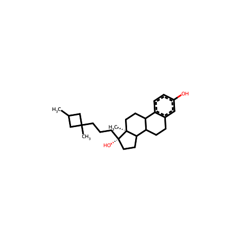 CC1CC(C)(CCC[C@]2(O)CCC3C4CCc5cc(O)ccc5C4CC[C@@]32C)C1